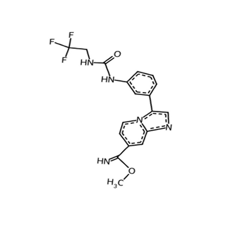 COC(=N)c1ccn2c(-c3cccc(NC(=O)NCC(F)(F)F)c3)cnc2c1